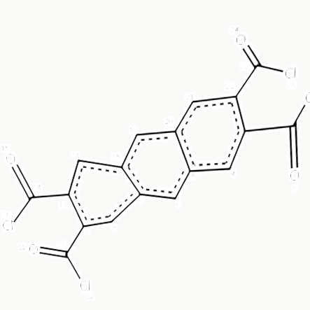 O=C(Cl)c1cc2cc3cc(C(=O)Cl)c(C(=O)Cl)cc3cc2cc1C(=O)Cl